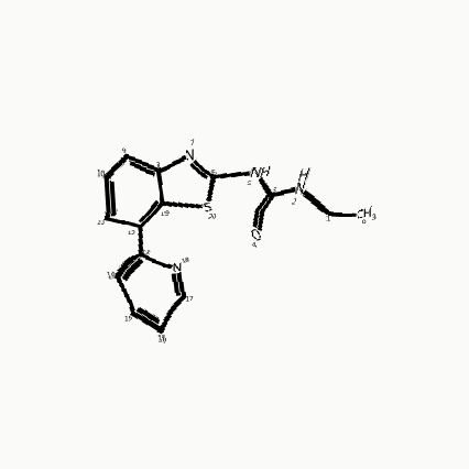 CCNC(=O)Nc1nc2c[c]cc(-c3ccccn3)c2s1